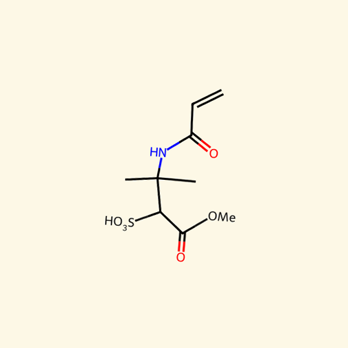 C=CC(=O)NC(C)(C)C(C(=O)OC)S(=O)(=O)O